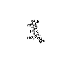 Cn1cc(OCc2ccc(NC(=O)Cc3cc(F)ccc3Cl)cc2S(=O)(=O)O)cn1